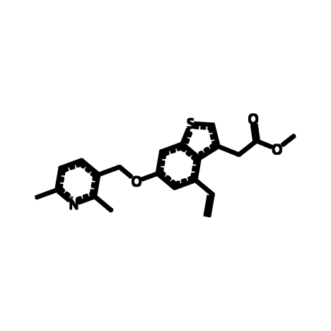 C=Cc1cc(OCc2ccc(C)nc2C)cc2scc(CC(=O)OC)c12